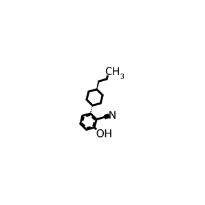 CCC[C@H]1CC[C@H](c2cccc(O)c2C#N)CC1